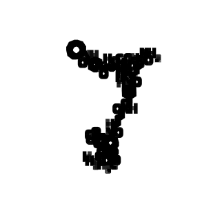 COc1cc2c(c(OC)c1OC)-c1ccc(OC)c(=O)cc1C(NC(=O)CCCCC(=O)NOCc1ccc(NC(=O)[C@H](CCCNC(N)=O)NC(=O)[C@@H](NC(=O)CCC(=O)N3CCC(C(=O)NC4CCCCCCCC4)CC3)C(C)C)cc1)CC2